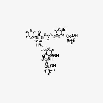 O=C(O)C(F)(F)F.O=C(O)C(F)(F)F.O=C1COc2c(CCNCCN(C(=O)CCNCCc3ccc(Cl)cc3)C3CCCCC3)ccc(O)c2N1